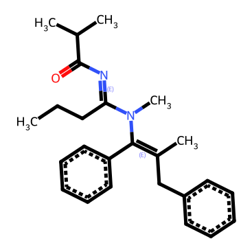 CCC/C(=N\C(=O)C(C)C)N(C)/C(=C(\C)Cc1ccccc1)c1ccccc1